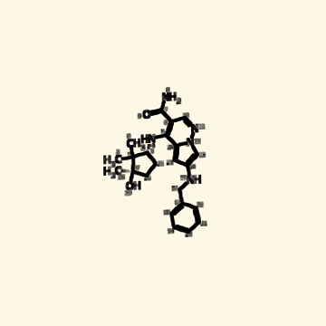 CC1(C)[C@H](Nc2c(C(N)=O)cnn3cc(NCc4ccccc4)cc23)CC[C@@]1(C)O